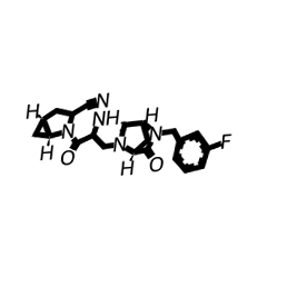 N#CC1C[C@@H]2C[C@@H]2N1C(=O)C(N)CN1C[C@@H]2C[C@H]1C(=O)N2Cc1cccc(F)c1